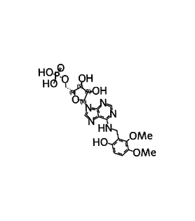 COc1ccc(O)c(CNc2ncnc3c2ncn3[C@@H]2O[C@H](COP(=O)(O)O)[C@@H](O)[C@H]2O)c1OC